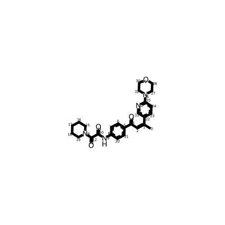 CC(=CC(=O)c1ccc(NC(=O)C(=O)N2CCCCC2)cc1)c1ccc(N2CCOCC2)nc1